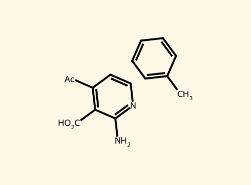 CC(=O)c1ccnc(N)c1C(=O)O.Cc1ccccc1